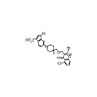 CCn1cc(C(=O)O)c2ccc(N3CCC(F)(COC/C(C(=N)c4c(Cl)cccc4Cl)=C(/O)C4CC4)CC3)cc21